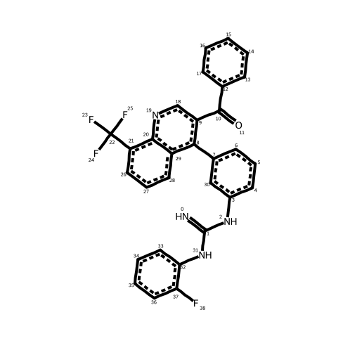 N=C(Nc1cccc(-c2c(C(=O)c3ccccc3)cnc3c(C(F)(F)F)cccc23)c1)Nc1ccccc1F